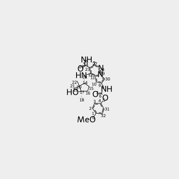 COc1ccc(OC(=O)Nc2cc3c(N[C@@H]4CC[C@@](C)(O)C4(C)C)c(C(N)=O)cnn3c2)cc1